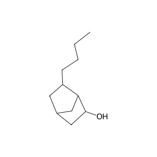 CCCCC1CC2CC(O)C1C2